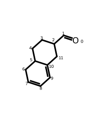 O=CC1CCC2CC=CC=C2C1